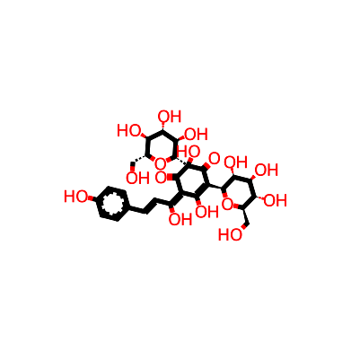 O=C1C([C@@H]2O[C@H](CO)[C@@H](O)[C@H](O)[C@H]2O)=C(O)/C(=C(O)/C=C/c2ccc(O)cc2)C(=O)C1(O)[C@@H]1O[C@H](CO)[C@@H](O)[C@H](O)[C@H]1O